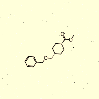 COC(=O)[C@H]1CC[C@H](COCc2ccccc2)CC1